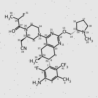 Cc1cc(N)c(F)c([C@H]2Cc3nc(OC[C@@H]4CCCN4C)nc(N4CCN(C(=O)C(C)F)[C@H](CC#N)C4)c3C[C@@H]2C)c1C(F)(F)F